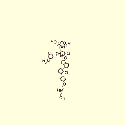 CC(CO)(NCc1cc(Cl)c(O[C@H]2CCc3c(-c4cccc(-c5ccc(OCCNCCO)cc5)c4Cl)cccc32)nc1OCc1cncc(N)c1)C(=O)O